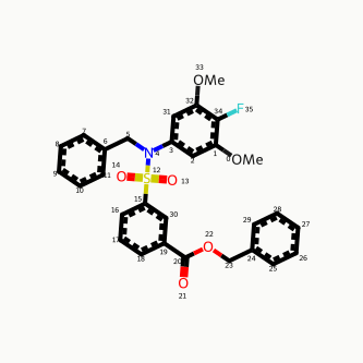 COc1cc(N(Cc2ccccc2)S(=O)(=O)c2cccc(C(=O)OCc3ccccc3)c2)cc(OC)c1F